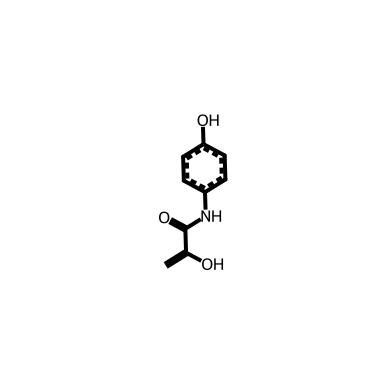 C=C(O)C(=O)Nc1ccc(O)cc1